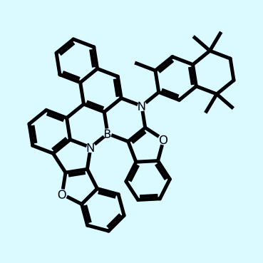 Cc1cc2c(cc1N1c3cc4ccccc4c4c3B(c3c1oc1ccccc31)n1c3c-4cccc3c3oc4ccccc4c31)C(C)(C)CCC2(C)C